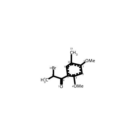 COc1cc(OC)c(C(=O)C(C)Br)cc1C